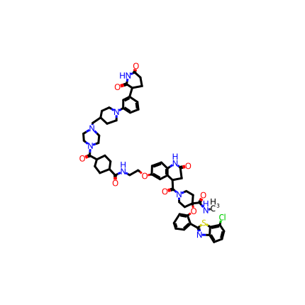 CNC(=O)C1(Oc2ccccc2-c2nc3cccc(Cl)c3s2)CCN(C(=O)C2CC(=O)Nc3ccc(OCCNC(=O)C4CCC(C(=O)N5CCN(CC6CCN(c7cccc(C8CCC(=O)NC8=O)c7)CC6)CC5)CC4)cc32)CC1